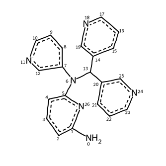 Nc1cccc(N(c2cccnc2)C(c2cccnc2)c2cccnc2)n1